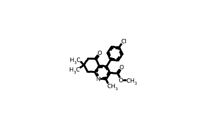 COC(=O)c1c(C)nc2c(c1-c1ccc(Cl)cc1)C(=O)CC(C)(C)C2